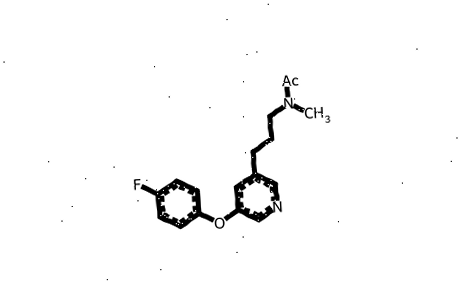 CC(=O)N(C)CCCc1cncc(Oc2ccc(F)cc2)c1